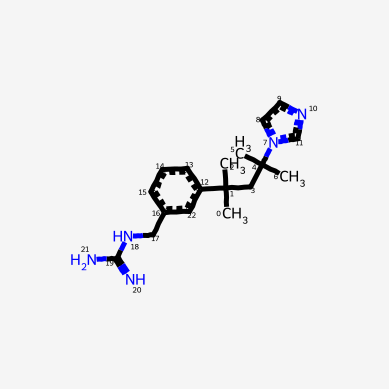 CC(C)(CC(C)(C)n1ccnc1)c1cccc(CNC(=N)N)c1